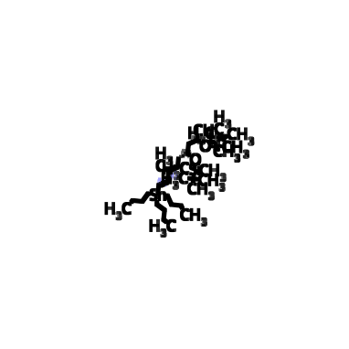 CCC[CH2][Sn](/[CH]=C/C(C)=C/C[C@H](C[C@H](C)O[Si](C)(C)C(C)(C)C)O[Si](C)(C)C(C)(C)C)([CH2]CCC)[CH2]CCC